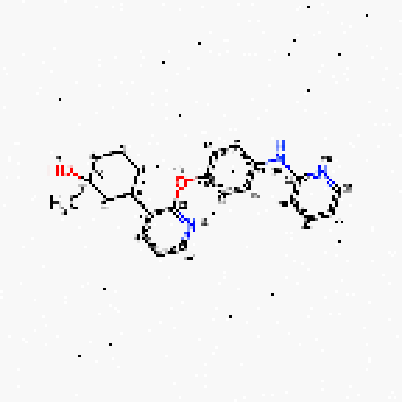 C[C@]1(O)CCCC(c2cccnc2Oc2ccc(Nc3ccccn3)cc2)C1